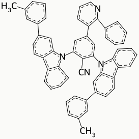 Cc1cccc(-c2ccc3c4ccccc4n(-c4cc(-c5cccnc5-c5ccccc5)cc(-n5c6ccccc6c6ccc(-c7cccc(C)c7)cc65)c4C#N)c3c2)c1